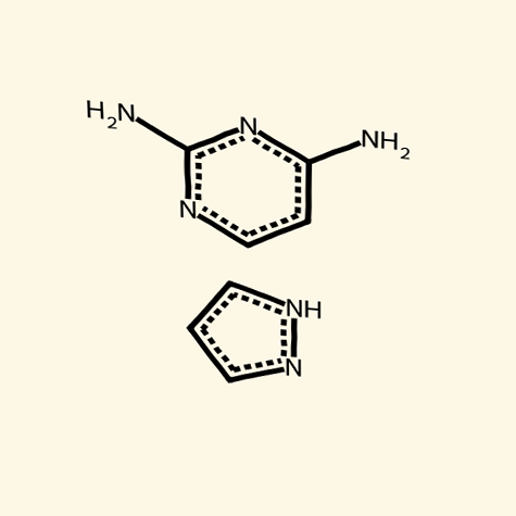 Nc1ccnc(N)n1.c1cn[nH]c1